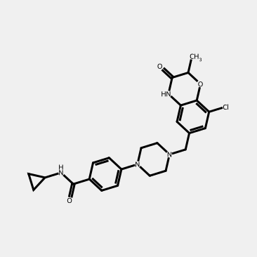 CC1Oc2c(Cl)cc(CN3CCN(c4ccc(C(=O)NC5CC5)cc4)CC3)cc2NC1=O